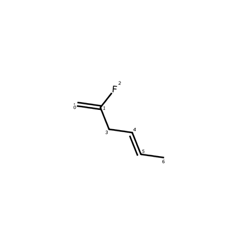 [CH]=C(F)CC=CC